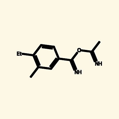 CCc1ccc(C(=N)OC(C)=N)cc1C